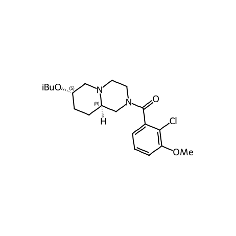 COc1cccc(C(=O)N2CCN3C[C@@H](OCC(C)C)CC[C@@H]3C2)c1Cl